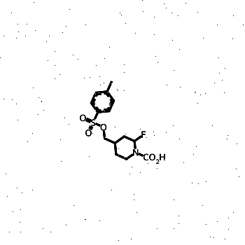 Cc1ccc(S(=O)(=O)OCC2CCN(C(=O)O)C(F)C2)cc1